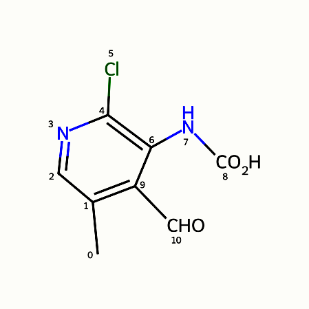 Cc1cnc(Cl)c(NC(=O)O)c1C=O